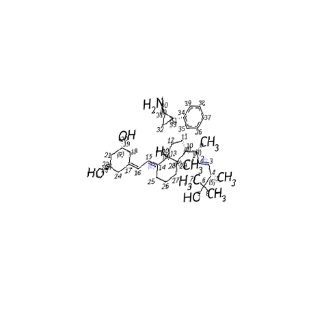 C[C@H](/C=C/[C@H](C)C(C)(C)O)[C@H]1CC[C@H]2/C(=C/C=C3C[C@@H](O)C[C@H](O)C3)CCC[C@]12C.N[C@@H]1C[C@H]1c1ccccc1